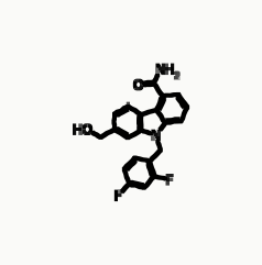 NC(=O)c1cccc2c1c1[c]cc(CO)cc1n2Cc1ccc(F)cc1F